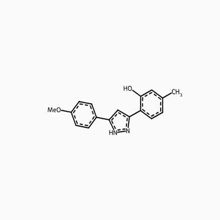 COc1ccc(-c2cc(-c3ccc(C)cc3O)n[nH]2)cc1